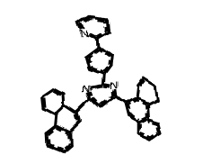 C1=CC2C(c3cc(-c4cc5ccccc5c5c4C=CCC5)nc(-c4ccc(-c5ccccn5)cc4)n3)=Cc3ccccc3C2C=C1